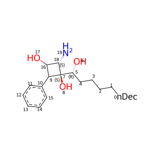 CCCCCCCCCCCCCC[C@@H](O)[C@]1(O)C(c2ccccc2)C(O)[C@@H]1N